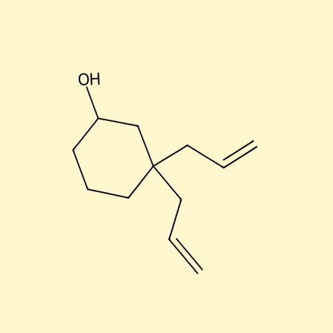 C=CCC1(CC=C)CCCC(O)C1